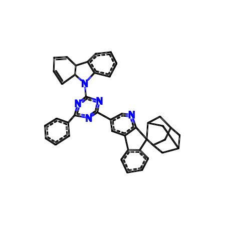 C1=CC2c3ccccc3N(c3nc(-c4ccccc4)nc(-c4cnc5c(c4)-c4ccccc4C54C5CC6CC(C5)CC4C6)n3)C2C=C1